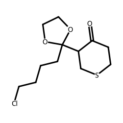 O=C1CCSCC1C1(CCCCCl)OCCO1